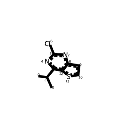 CC(C)c1nc(Cl)nc2ccsc12